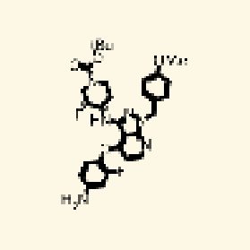 COc1ccc(Cn2nc(N[C@H]3CCN(C(=O)OC(C)(C)C)C[C@H]3F)c3c(Oc4ccc(N)cc4F)ccnc32)cc1